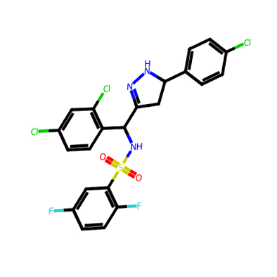 O=S(=O)(NC(C1=NNC(c2ccc(Cl)cc2)C1)c1ccc(Cl)cc1Cl)c1cc(F)ccc1F